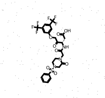 O=C(O)C[C@H](NC(=O)CN1CCN(S(=O)(=O)c2ccccc2)CC1=O)C(=O)COc1cc(C(F)(F)F)cc(C(F)(F)F)c1